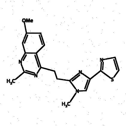 COc1ccc2c(CCc3nc(-c4nccs4)cn3C)nc(C)nc2c1